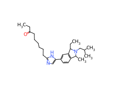 CCC(=O)CCCCCCc1ncc(-c2ccc3c(c2)C(CC)N(CC(C)C)C3C)[nH]1